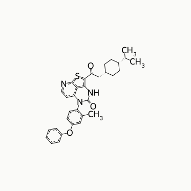 Cc1cc(Oc2ccccc2)ccc1N1C(=O)Nc2c(C(=O)C[C@H]3CC[C@@H](C(C)C)CC3)sc3nccc1c23